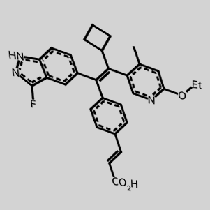 CCOc1cc(C)c(/C(=C(\c2ccc(/C=C/C(=O)O)cc2)c2ccc3[nH]nc(F)c3c2)C2CCC2)cn1